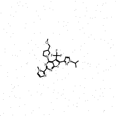 COCC1CCN(c2nc(-c3nccn3C)nc3sc(-c4ccn(C(C)C)n4)c(C(F)(F)F)c23)C1